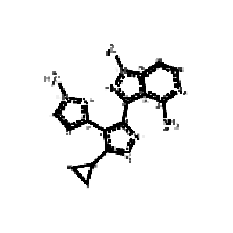 CC(C)n1nc(-c2noc(C3CC3)c2-c2ccn(C)n2)c2c(N)nccc21